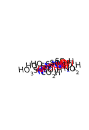 Nc1c(N=Nc2ccc3c(O)c(N=Nc4cc(S(=O)(=O)O)c(N=Nc5c(C(=O)O)nn(-c6ccc(S(=O)(=O)O)cc6)c5O)c(S(=O)(=O)O)c4)c(S(=O)(=O)O)cc3c2S(=O)(=O)O)cc(S(=O)(=O)O)c2cc(SOOO)c(N=Nc3ccc([N+](=O)[O-])cc3S(=O)(=O)O)c(O)c12